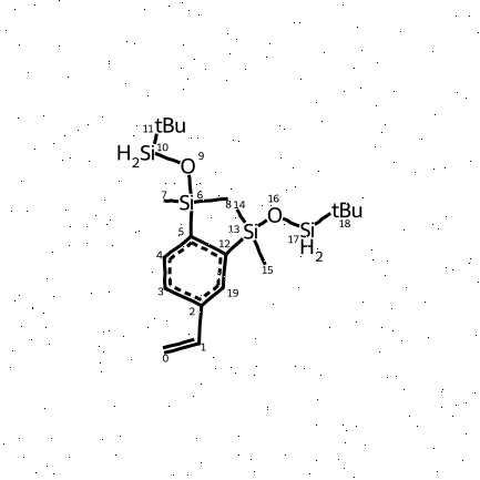 C=Cc1ccc([Si](C)(C)O[SiH2]C(C)(C)C)c([Si](C)(C)O[SiH2]C(C)(C)C)c1